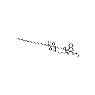 CCCCCCCCCCCCCCCCCNC(=O)C(=O)NCCCCOn1c(CCCC)nc2c(N)nc3ccccc3c21